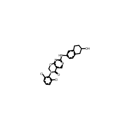 O=C1c2cnc(Nc3ccc4c(c3)CCC(O)C4)nc2OCN1c1c(Cl)cccc1Cl